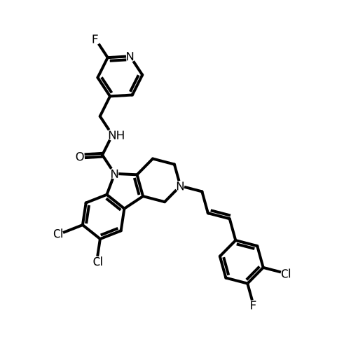 O=C(NCc1ccnc(F)c1)n1c2c(c3cc(Cl)c(Cl)cc31)CN(CC=Cc1ccc(F)c(Cl)c1)CC2